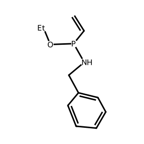 C=CP(NCc1ccccc1)OCC